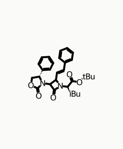 CC[C@H](C)C(C(=O)OC(C)(C)C)N1C(=O)C(N2C(=O)OC[C@@H]2c2ccccc2)C1C=Cc1ccccc1